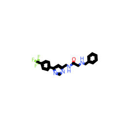 O=C(CNCc1ccccc1)NCc1cc(-c2ccc(C(F)(F)F)cc2)ncn1